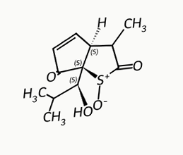 CC(C)[C@H](O)[C@]12C(=O)C=C[C@H]1C(C)C(=O)[S+]2[O-]